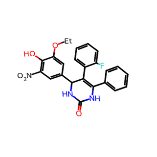 CCOc1cc(C2NC(=O)NC(c3ccccc3)=C2c2ccccc2F)cc([N+](=O)[O-])c1O